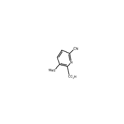 CSc1ccc(C#N)nc1C(=O)O